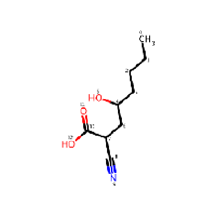 CCCCC(O)CC(C#N)C(=O)O